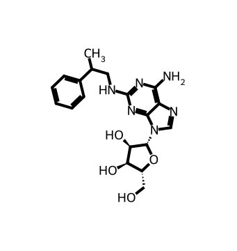 CC(CNc1nc(N)c2ncn([C@@H]3O[C@H](CO)[C@@H](O)[C@H]3O)c2n1)c1ccccc1